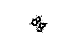 c1cc2c3cc-3cc2s1.c1ccc2sccc2c1